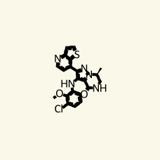 COc1c(Cl)cccc1Nc1c(-c2ccnc3ccsc23)nn2c1C(=O)NC[C@@H]2C